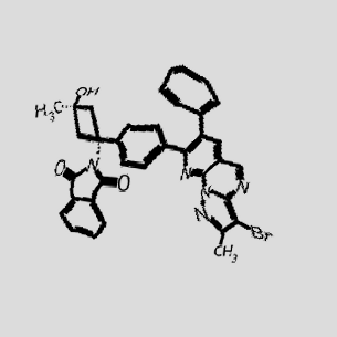 Cc1nn2c(ncc3cc(-c4ccccc4)c(-c4ccc([C@]5(N6C(=O)c7ccccc7C6=O)C[C@](C)(O)C5)cc4)nc32)c1Br